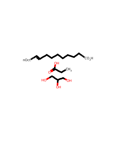 CCC(=O)O.CCCCCCCCC=CCCCCCCCC(=O)O.OCC(O)CO